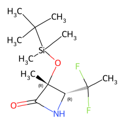 CC(F)(F)[C@@H]1NC(=O)[C@]1(C)O[Si](C)(C)C(C)(C)C